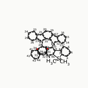 C[Si]1(C)c2ccccc2-c2c(-n3c4ccccc4c4ccc5c6ccccc6n(-c6ccccc6)c5c43)nc(-c3ccccc3)nc21